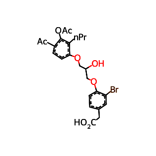 CCCc1c(OCC(O)COc2ccc(CC(=O)O)cc2Br)ccc(C(C)=O)c1OC(C)=O